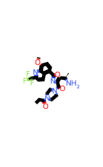 CCC(=O)N1CCN(C(=O)c2nc(-c3ccc(OC)c4nc(C(F)(F)F)ccc34)oc2[C@H](C)N)CC1